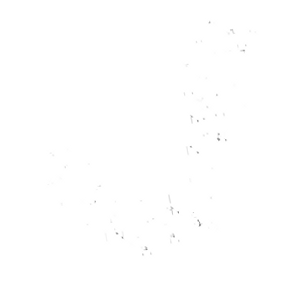 Cc1c(C)c(S(=O)(=O)NC(=N)NCCC[C@H](NC(=O)c2ccc(Cc3ccc(C(C)C)cc3)[nH]c2=O)C(=O)O)c(C)c2c1OC(C)(C)CC2